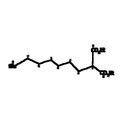 CCOC(=O)C(CCCCCCC(C)(C)C)C(=O)OCC